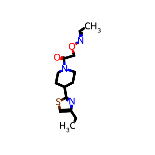 CC=NOCC(=O)N1CCC(c2nc(CC)cs2)CC1